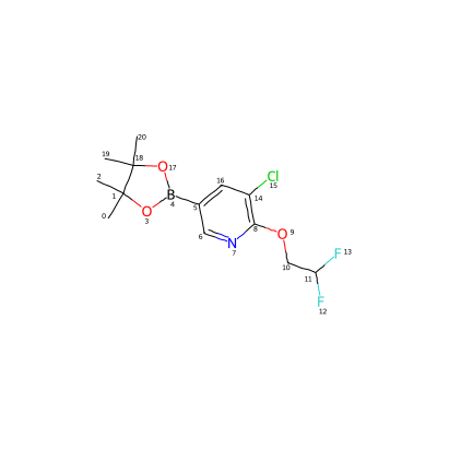 CC1(C)OB(c2cnc(OCC(F)F)c(Cl)c2)OC1(C)C